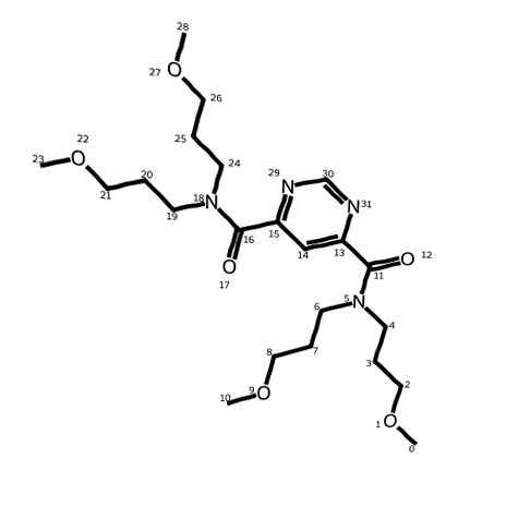 COCCCN(CCCOC)C(=O)c1cc(C(=O)N(CCCOC)CCCOC)ncn1